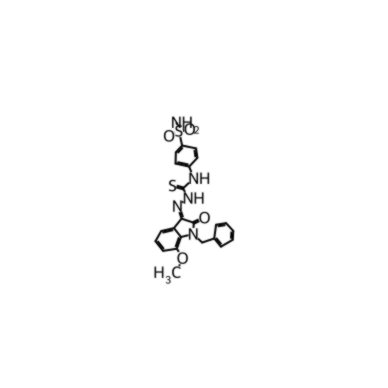 COc1cccc2c1N(Cc1ccccc1)C(=O)C2=NNC(=S)Nc1ccc(S(N)(=O)=O)cc1